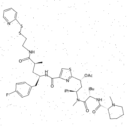 CCC(C)[C@H](NC(=O)[C@H]1CCCCN1C)C(=O)N(C)[C@H](C[C@@H](OC(C)=O)c1nc(C(=O)N[C@@H](Cc2ccc(F)cc2)C[C@H](C)C(=O)NCCSSc2ccccn2)cs1)C(C)C